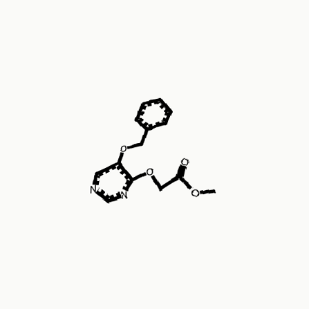 COC(=O)COc1ncncc1OCc1ccccc1